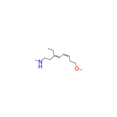 CC/C(=C\C=C/CCOC)CCNC